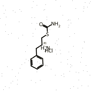 Cl.NC(=O)SC[C@H](N)Cc1ccccc1